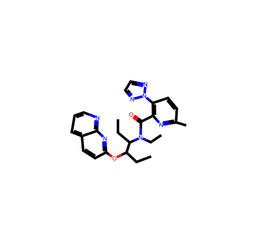 CCC(Oc1ccc2cccnc2n1)C(CC)N(CC)C(=O)c1nc(C)ccc1-n1nccn1